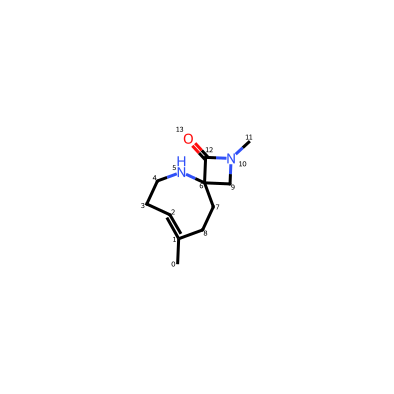 C/C1=C\CCNC2(CC1)CN(C)C2=O